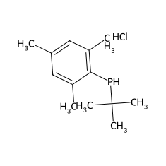 Cc1cc(C)c(PC(C)(C)C)c(C)c1.Cl